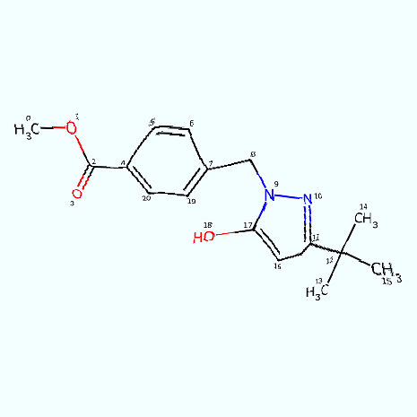 COC(=O)c1ccc(Cn2nc(C(C)(C)C)cc2O)cc1